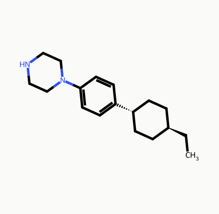 CC[C@H]1CC[C@H](c2ccc(N3CCNCC3)cc2)CC1